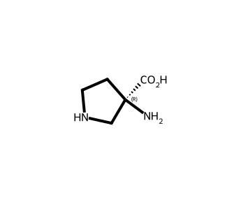 N[C@]1(C(=O)O)CCNC1